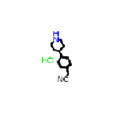 Cl.N#CCc1ccc(C2CCNCC2)cc1